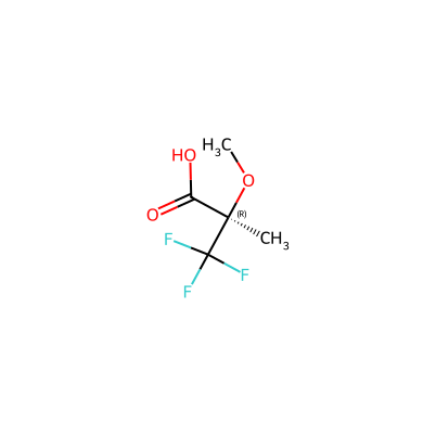 CO[C@](C)(C(=O)O)C(F)(F)F